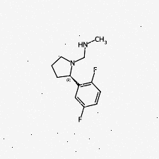 CNCN1CCC[C@@H]1c1cc(F)ccc1F